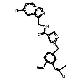 C=Nc1ccc(Cn2cc(C(=O)NCc3ncn4ccc(Cl)cc34)cn2)cc1/C=C(\C)Cl